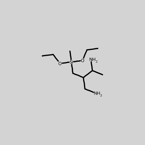 CCO[Si](C)(CC(CN)C(C)N)OCC